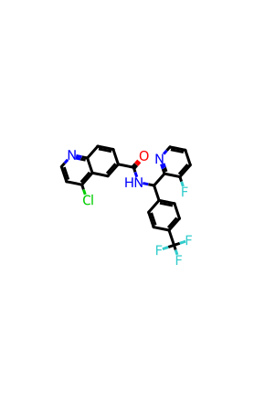 O=C(NC(c1ccc(C(F)(F)F)cc1)c1ncccc1F)c1ccc2nccc(Cl)c2c1